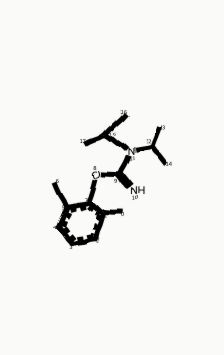 Cc1cccc(C)c1OC(=N)N(C(C)C)C(C)C